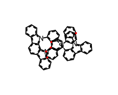 c1ccc(-n2c3ccccc3c3cccc([Si](c4ccccc4)(c4ccccc4)c4cccc(-n5c6ccccc6c6ccc7c8ccccc8n(-c8ccccc8)c7c65)c4)c32)cc1